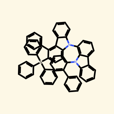 c1ccc(-c2ccccc2-n2c3ccccc3c3cccc(-n4c5ccccc5c5c(-c6ccccc6)c([Si](c6ccccc6)(c6ccccc6)c6ccccc6)ccc54)c32)cc1